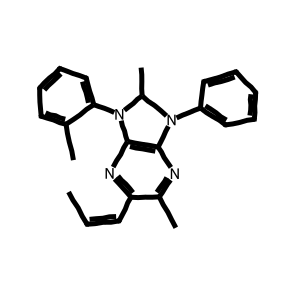 C/C=C\c1nc2c(nc1C)N(c1ccccc1)C(C)N2c1ccccc1C